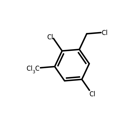 ClCc1cc(Cl)cc(C(Cl)(Cl)Cl)c1Cl